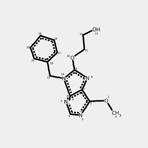 COc1ncnc2c1nc(OCCO)n2Cc1ccccc1